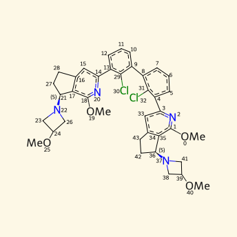 COc1nc(-c2cccc(-c3cccc(-c4cc5c(c(OC)n4)[C@@H](N4CC(OC)C4)CC5)c3Cl)c2Cl)cc2c1[C@@H](N1CC(OC)C1)CC2